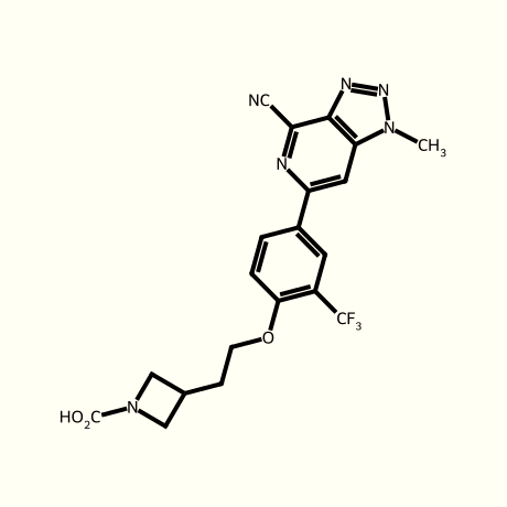 Cn1nnc2c(C#N)nc(-c3ccc(OCCC4CN(C(=O)O)C4)c(C(F)(F)F)c3)cc21